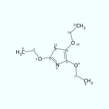 CCOc1nc(OCC)c(OCC)s1